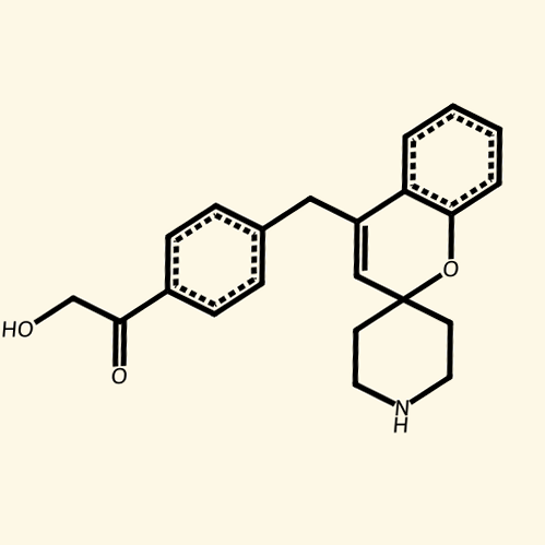 O=C(CO)c1ccc(CC2=CC3(CCNCC3)Oc3ccccc32)cc1